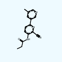 CCC(=O)Nc1ccc(-c2cncc(C)c2)nc1C#N